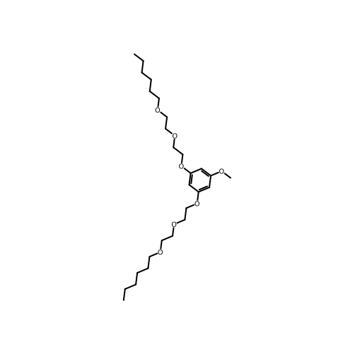 CCCCCCOCCOCCOc1cc(OC)cc(OCCOCCOCCCCCC)c1